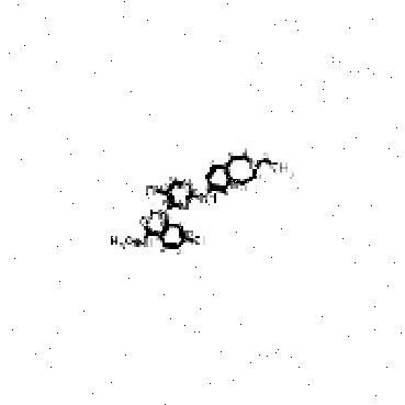 CCN1CCc2ccc(Nc3ncc(Cl)c(Nc4cc(Cl)ccc4C(=O)NC)n3)cc2CC1